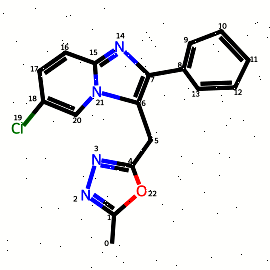 Cc1nnc(Cc2c(-c3ccccc3)nc3ccc(Cl)cn23)o1